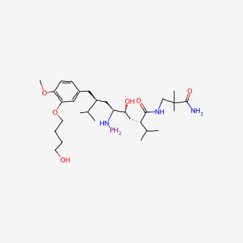 COc1ccc(C[C@@H](C[C@H](NP)[C@@H](O)C[C@H](C(=O)NCC(C)(C)C(N)=O)C(C)C)C(C)C)cc1OCCCCO